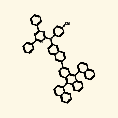 N#Cc1ccc(N(c2ccc3cc(-c4ccc5c(-c6cccc7ccccc67)c6ccccc6c(-c6cccc7ccccc67)c5c4)ccc3c2)c2nc(-c3ccccc3)nc(-c3ccccc3)n2)cc1